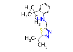 CC(C)c1nnc(CNc2ccccc2C(C)(C)C)s1